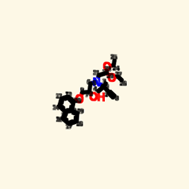 C#CC(C)(C)N(CC(O)COc1cccc2ccccc12)CC(OCC)OCC